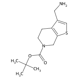 CC(C)(C)OC(=O)N1CCc2c(CN)csc2C1